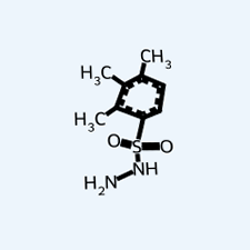 Cc1ccc(S(=O)(=O)NN)c(C)c1C